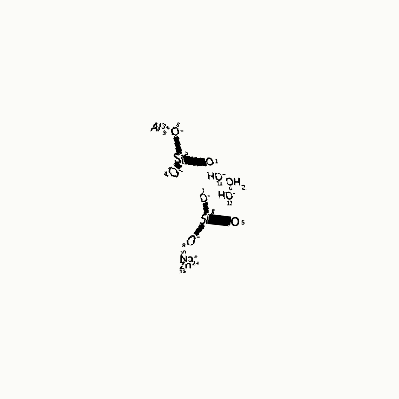 O.O=[Si]([O-])[O-].O=[Si]([O-])[O-].[Al+3].[Na+].[OH-].[OH-].[Zn+2]